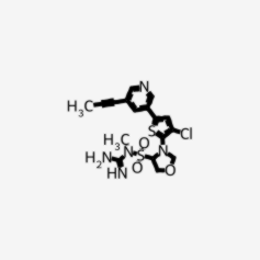 CC#Cc1cncc(-c2cc(Cl)c(N3COCC3S(=O)(=O)N(C)C(=N)N)s2)c1